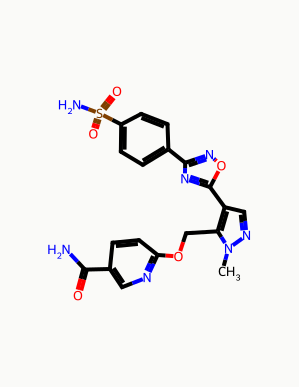 Cn1ncc(-c2nc(-c3ccc(S(N)(=O)=O)cc3)no2)c1COc1ccc(C(N)=O)cn1